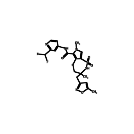 Cc1cc(CC2(C)COc3c(cn(C)c3C(=O)Nc3ccnc(C(F)F)c3)S(=O)(=O)N2)no1